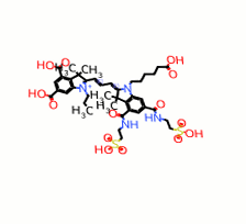 CCC[N+]1=C(/C=C/C=C2/N(CCCCCC(=O)O)c3cc(C(=O)NCCS(=O)(=O)O)cc(C(=O)NCCS(=O)(=O)O)c3C2(C)C)C(C)(C)c2c(C(=O)O)cc(C(=O)O)cc21